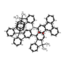 CC1(C)c2ccccc2-c2c(-c3cc4c(cc3N(c3ccc5c6ccccc6c6ccccc6c5c3)c3cccc5c3-c3ccccc3C5(C)C)C3(c5ccccc5-c5ccccc53)c3ccccc3-4)cccc21